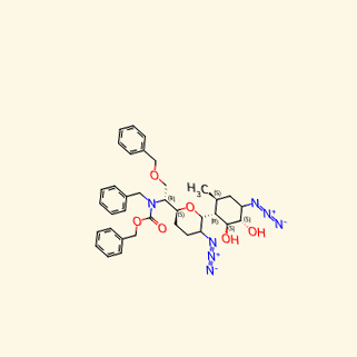 C[C@H]1CC(N=[N+]=[N-])[C@H](O)[C@@H](O)[C@@H]1C1O[C@H]([C@@H](COCc2ccccc2)N(Cc2ccccc2)C(=O)OCc2ccccc2)CCC1N=[N+]=[N-]